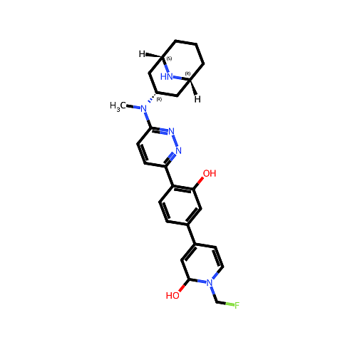 CN(c1ccc(-c2ccc(C3=CC(O)N(CF)C=C3)cc2O)nn1)[C@H]1C[C@H]2CCC[C@@H](C1)N2